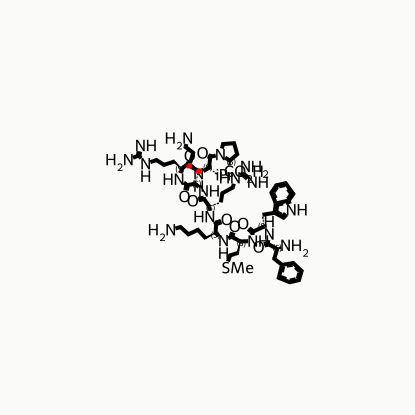 CSCC[C@H](NC(=O)[C@H](Cc1c[nH]c2ccccc12)NC(=O)[C@@H](N)Cc1ccccc1)C(=O)N[C@@H](CCCCN)C(=O)N[C@@H](CCCNC(=N)N)C(=O)N[C@@H](CCCCN)C(=O)N[C@@H](CCCNC(=N)N)C(=O)N[C@H](C(=O)N1CCC[C@H]1C(=O)O)C(C)C